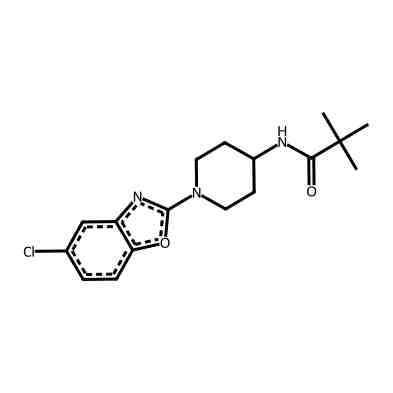 CC(C)(C)C(=O)NC1CCN(c2nc3cc(Cl)ccc3o2)CC1